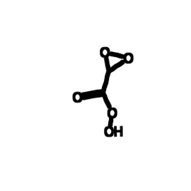 O=C(OO)C1OO1